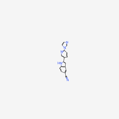 N#Cc1ccc2[nH]c(-c3ccc(-n4ccnc4)nc3)cc2c1